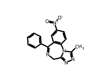 Cc1nnc2n1-c1ccc([N+](=O)[O-])cc1C(c1ccccc1)=NC2